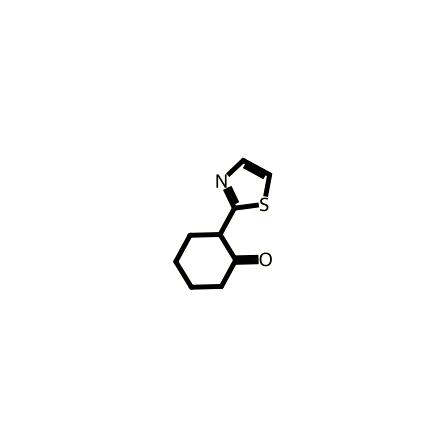 O=C1CCCCC1c1nccs1